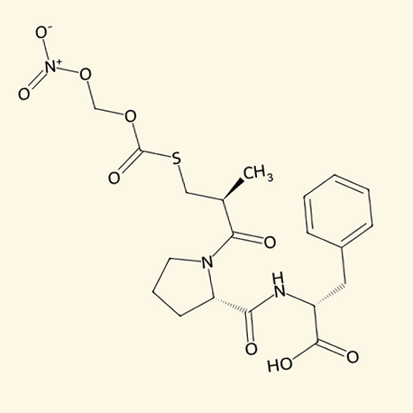 C[C@H](CSC(=O)OCO[N+](=O)[O-])C(=O)N1CCC[C@H]1C(=O)N[C@H](Cc1ccccc1)C(=O)O